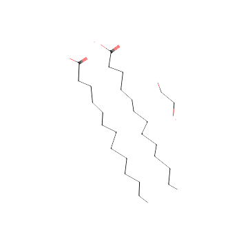 CCCCCCCCCCCCC(=O)O.CCCCCCCCCCCCC(=O)O.OCCO